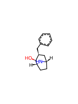 O[C@H]1[C@@H](Cc2ccccc2)C[C@@H]2CC[C@H]1N2